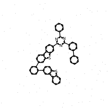 c1ccc(-c2cccc(-c3nc(-c4ccccc4)nc(-c4ccc5c(c4)sc4cc(-c6ccccc6-c6ccc7sc8ccccc8c7c6)ccc45)n3)c2)cc1